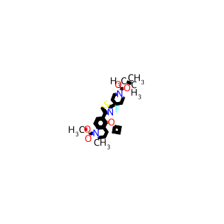 COC(=O)N1c2ccc(-c3csc(C4(F)CCN(C(=O)OC(C)(C)C)CC4)n3)c(OC3CCC3)c2CC[C@@H]1C